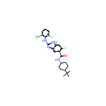 CC(C)(C)C1CCC(NC(=O)c2cc3nc(Nc4c(F)cccc4Cl)[nH]c3cc2F)CC1